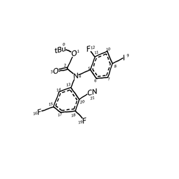 CC(C)(C)OC(=O)N(c1ccc(I)cc1F)c1cc(F)cc(F)c1C#N